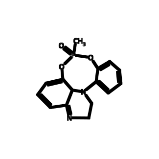 CP1(=O)OC2=CC=CC3=NCCN(c4ccccc4O1)C23